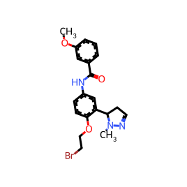 COc1cccc(C(=O)Nc2ccc(OCCBr)c(C3CC=NN3C)c2)c1